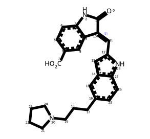 O=C1Nc2ccc(C(=O)O)cc2/C1=C\c1cc2cc(CCCN3CCCC3)ccc2[nH]1